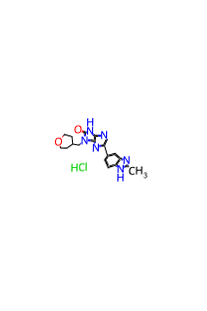 Cc1nc2cc(-c3cnc4[nH]c(=O)n(CC5CCOCC5)c4n3)ccc2[nH]1.Cl